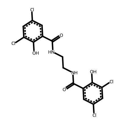 O=C(NCCNC(=O)c1cc(Cl)cc(Cl)c1O)c1cc(Cl)cc(Cl)c1O